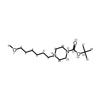 COCCCCCCN1CCN(C(=O)OC(C)(C)C)CC1